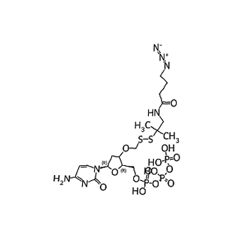 CC(C)(CNC(=O)CCCN=[N+]=[N-])SSCOC1C[C@H](n2ccc(N)nc2=O)O[C@@H]1COP(=O)(O)OP(=O)(O)OP(=O)(O)O